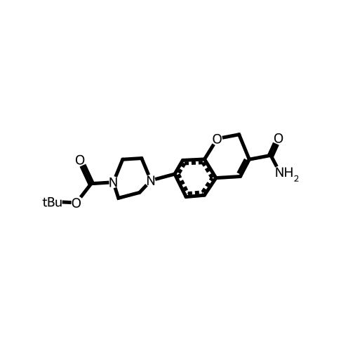 CC(C)(C)OC(=O)N1CCN(c2ccc3c(c2)OCC(C(N)=O)=C3)CC1